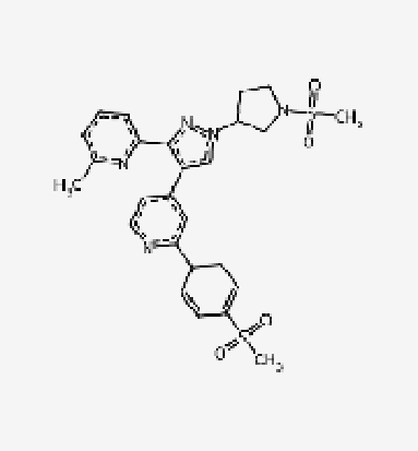 Cc1cccc(-c2nn(C3CCN(S(C)(=O)=O)C3)cc2-c2ccnc(C3C=CC(S(C)(=O)=O)=CC3)c2)n1